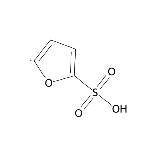 O=S(=O)(O)c1cc[c]o1